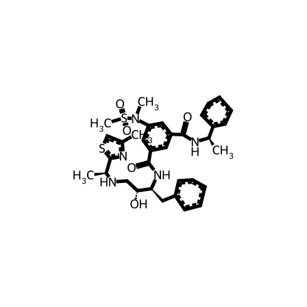 Cc1csc([C@H](C)NC[C@@H](O)[C@H](Cc2ccccc2)NC(=O)c2cc(C(=O)N[C@H](C)c3ccccc3)cc(N(C)S(C)(=O)=O)c2)n1